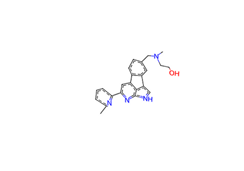 Cc1cccc(-c2cc3c4c(c[nH]c4n2)-c2cc(CN(C)CCO)ccc2-3)n1